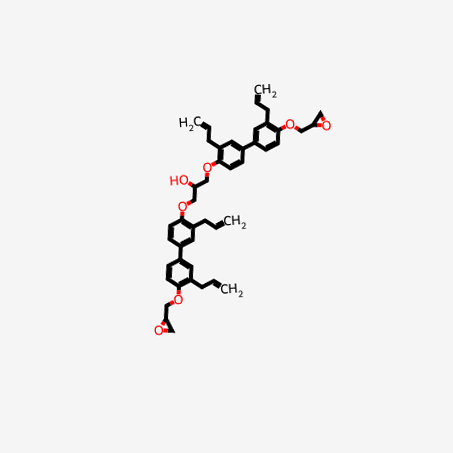 C=CCc1cc(-c2ccc(OCC3CO3)c(CC=C)c2)ccc1OCC(O)COc1ccc(-c2ccc(OCC3CO3)c(CC=C)c2)cc1CC=C